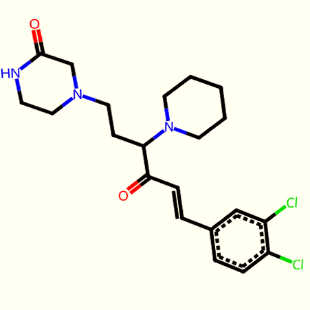 O=C1CN(CCC(C(=O)/C=C/c2ccc(Cl)c(Cl)c2)N2CCCCC2)CCN1